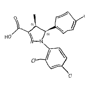 C[C@@H]1C(C(=O)O)=NN(c2ccc(Cl)cc2Cl)[C@@H]1c1ccc(I)cc1